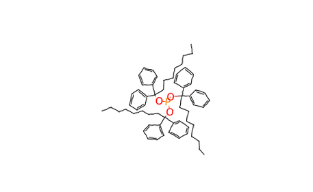 CCCCCCCCC(OP(OC(CCCCCCCC)(c1ccccc1)c1ccccc1)OC(CCCCCCCC)(c1ccccc1)c1ccccc1)(c1ccccc1)c1ccccc1